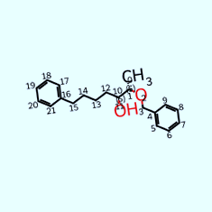 C[C@H](OCc1ccccc1)[C@@H](O)CCCCc1ccccc1